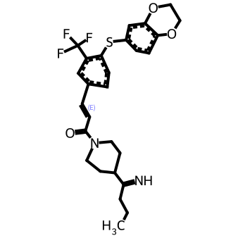 CCCC(=N)C1CCN(C(=O)/C=C/c2ccc(Sc3ccc4c(c3)OCCO4)c(C(F)(F)F)c2)CC1